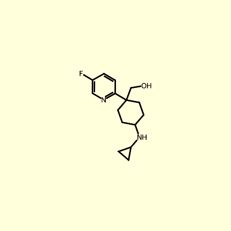 OCC1(c2ccc(F)cn2)CCC(NC2CC2)CC1